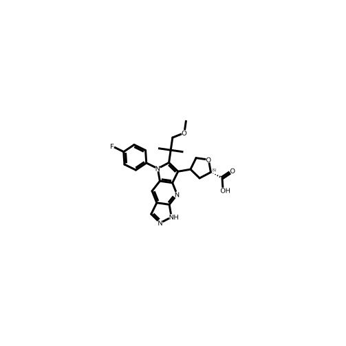 COCC(C)(C)c1c(C2CO[C@H](C(=O)O)C2)c2nc3[nH]ncc3cc2n1-c1ccc(F)cc1